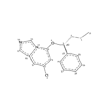 CCC[C@@H](Oc1cc(Cl)cc2cncn12)c1ccccc1